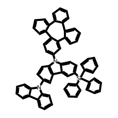 c1ccc([Si](c2ccccc2)(c2ccccc2)c2ccc3c(c2)c2cc(-n4c5ccccc5c5ccccc54)ccc2n3-c2ccc3c(c2)-c2ccccc2-c2ccccc2-c2ccccc2-3)cc1